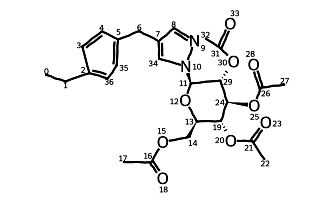 CCc1ccc(Cc2cnn([C@@H]3O[C@H](COC(C)=O)[C@@H](OC(C)=O)[C@H](OC(C)=O)[C@H]3OC(C)=O)c2)cc1